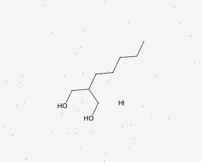 CCCCCC(CO)CO.I